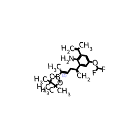 C=C(C)c1cc(OC(F)F)cc(C(=C)C/C=C(\C)B2OC(C)(C)C(C)(C)O2)c1N